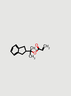 C=CC(=O)OC(C)(C)C1Cc2ccccc2C1